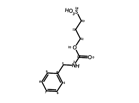 O=C(NCc1ccccc1)OCCCS(=O)(=O)O